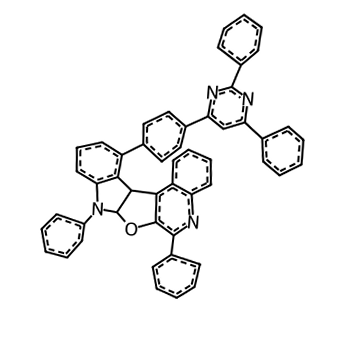 c1ccc(-c2cc(-c3ccc(-c4cccc5c4C4c6c(c(-c7ccccc7)nc7ccccc67)OC4N5c4ccccc4)cc3)nc(-c3ccccc3)n2)cc1